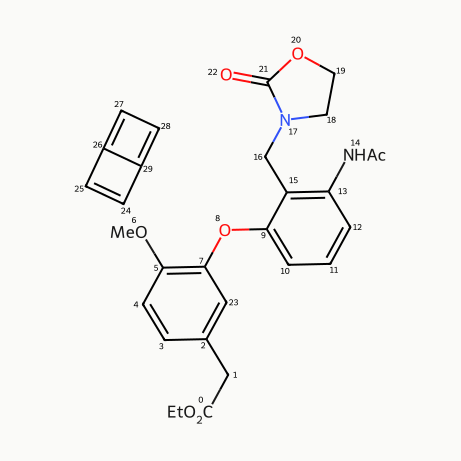 CCOC(=O)Cc1ccc(OC)c(Oc2cccc(NC(C)=O)c2CN2CCOC2=O)c1.c1cc2ccc1-2